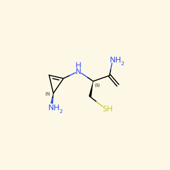 C=C(N)[C@@H](CS)NC1=C[C@@H]1N